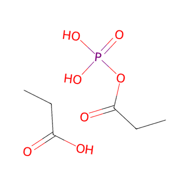 CCC(=O)O.CCC(=O)OP(=O)(O)O